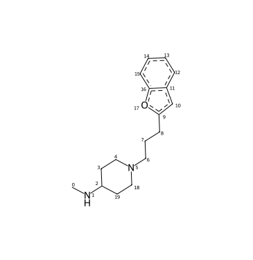 CNC1CCN(CCCc2cc3ccccc3o2)CC1